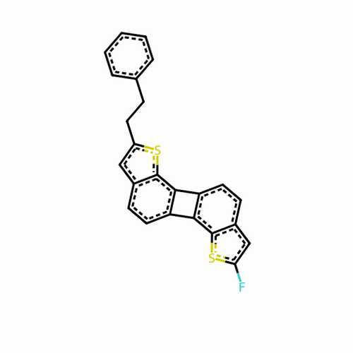 Fc1cc2ccc3c(c2s1)-c1ccc2cc(CCc4ccccc4)sc2c1-3